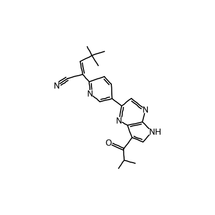 CC(C)C(=O)c1c[nH]c2ncc(-c3ccc(/C(C#N)=C\C(C)(C)C)nc3)nc12